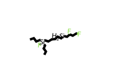 CCCC[Si](F)(CCCC)CCCCCC[SiH2]CC(F)CCF